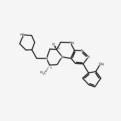 C[C@H]1CN2c3cc(-c4ccccc4O)nnc3NC[C@H]2CN1CC1CCNCC1